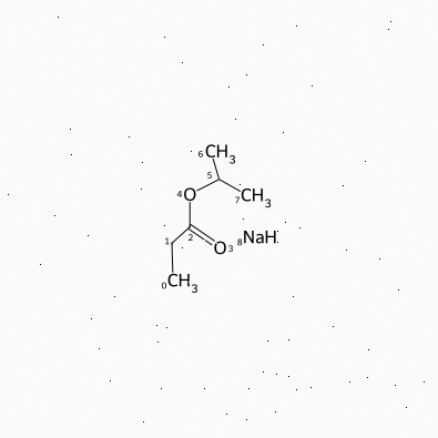 CCC(=O)OC(C)C.[NaH]